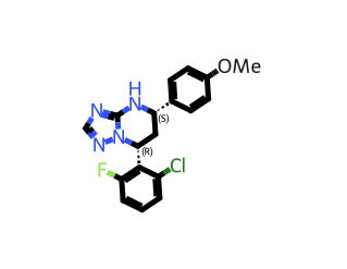 COc1ccc([C@@H]2C[C@H](c3c(F)cccc3Cl)n3ncnc3N2)cc1